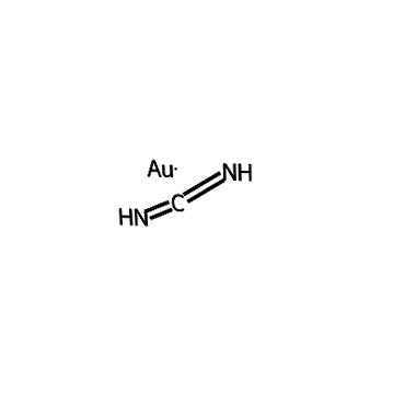 N=C=N.[Au]